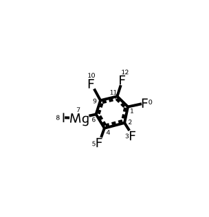 Fc1c(F)c(F)[c]([Mg][I])c(F)c1F